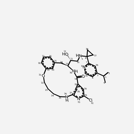 CC(C)c1ccnc(C2(NC[C@@H](O)[C@@H]3Cc4cccc(c4)OCCCCNc4cc(cc(Cl)n4)C(=O)N3)CC2)c1